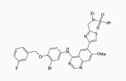 CCN(Cc1nc(-c2cc3c(Nc4ccc(OCc5cccc(F)c5)c(Br)c4)ncnc3cc2OC)cs1)S(=O)(=O)C(C)C